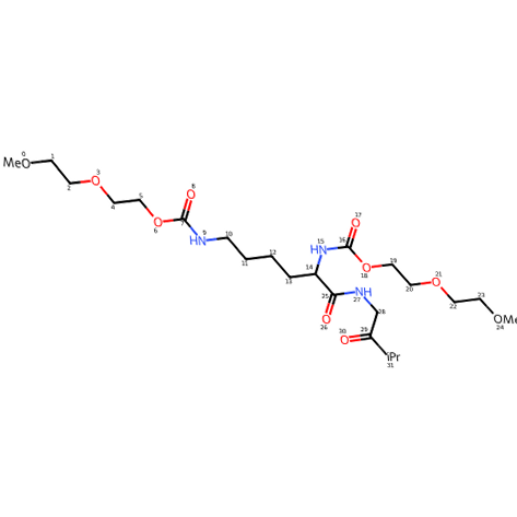 COCCOCCOC(=O)NCCCCC(NC(=O)OCCOCCOC)C(=O)NCC(=O)C(C)C